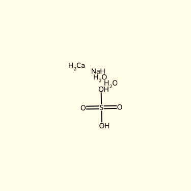 O.O.O=S(=O)(O)O.[CaH2].[NaH]